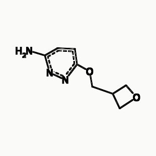 Nc1ccc(OCC2COC2)nn1